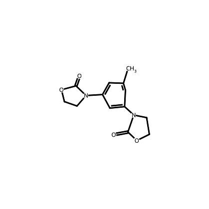 Cc1cc(N2CCOC2=O)cc(N2CCOC2=O)c1